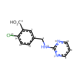 O=C(O)c1cc(CNc2ncccn2)ccc1Cl